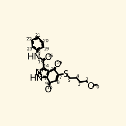 COCCCCSC1=CC(=O)c2[nH]nc(C(=O)Nc3ccccc3)c2C1=O